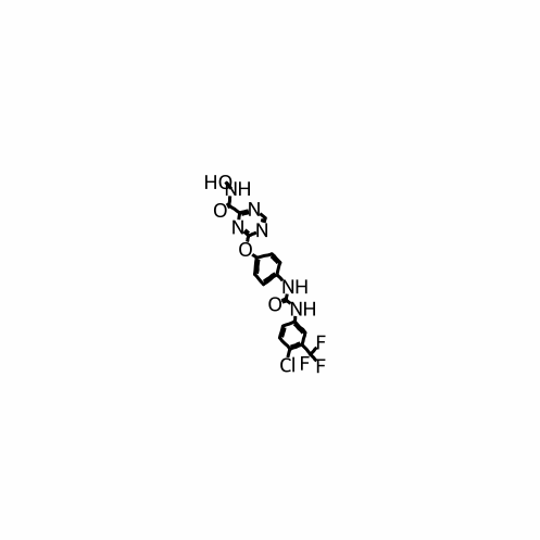 O=C(Nc1ccc(Oc2ncnc(C(=O)NO)n2)cc1)Nc1ccc(Cl)c(C(F)(F)F)c1